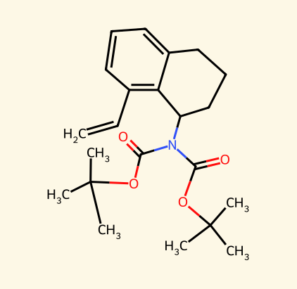 C=Cc1cccc2c1C(N(C(=O)OC(C)(C)C)C(=O)OC(C)(C)C)CCC2